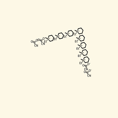 CC[N+]1(C)CCCCC1.CC[N+]1(C)CCCCC1.CC[N+]1(C)CCCCC1.CC[N+]1(C)CCCCC1.CC[N+]1(C)CCCCC1.CC[N+]1(C)CCCCC1.CC[N+]1(C)CCCCC1.CC[N+]1(C)CCCCC1.N#CB([O-])[O-].N#CB([O-])[O-].N#CB([O-])[O-].N#CB([O-])[O-]